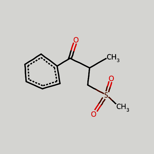 CC(CS(C)(=O)=O)C(=O)c1ccccc1